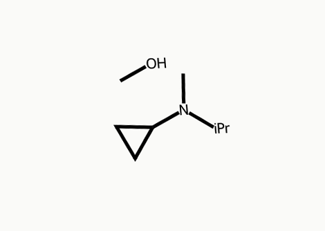 CC(C)N(C)C1CC1.CO